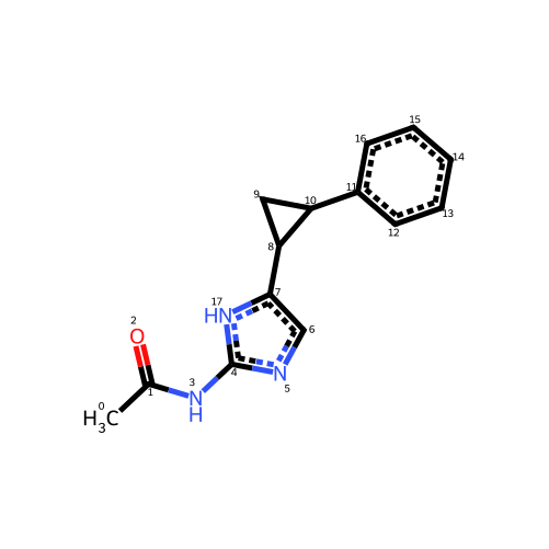 CC(=O)Nc1ncc(C2CC2c2ccccc2)[nH]1